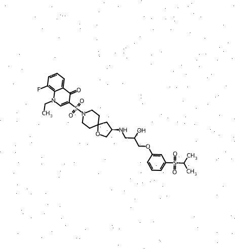 CCn1cc(S(=O)(=O)N2CCC3(CC2)C[C@@H](NCC(O)COc2cccc(S(=O)(=O)C(C)C)c2)CO3)c(=O)c2cccc(F)c21